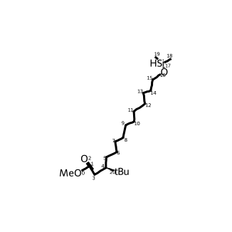 COC(=O)C[C@@H](CCCCCCCCCCCO[SiH](C)C)C(C)(C)C